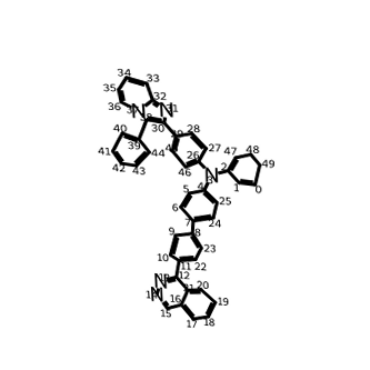 C1=CC(N(c2ccc(-c3ccc(-c4nncc5ccccc45)cc3)cc2)c2ccc(-c3nc4ccccn4c3-c3ccccc3)cc2)=CCC1